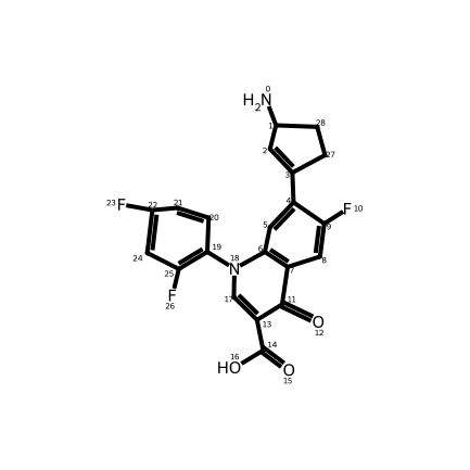 NC1C=C(c2cc3c(cc2F)c(=O)c(C(=O)O)cn3-c2ccc(F)cc2F)CC1